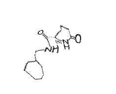 O=C1CC[C@@H](C(=O)NCC2CCCCC2)N1